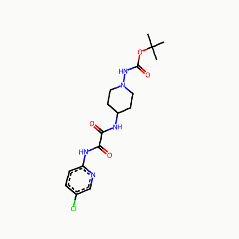 CC(C)(C)OC(=O)NN1CCC(NC(=O)C(=O)Nc2ccc(Cl)cn2)CC1